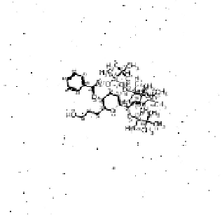 CC(C)(C)[Si](C)(C)O[C@@H]1[C@H](O[Si](C)(C)C(C)(C)C)[C@H]([C@H](/C=C/[Si](C)(C)C)O[Si](C)(C)C(C)(C)C)O[C@@H](CCCO)[C@@H]1OC(=O)c1ccccc1